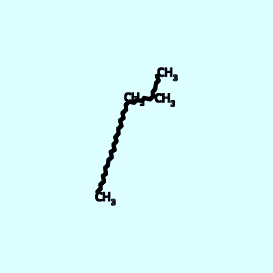 CCCCCCCCCCCCCCCCCCCCCCCCC(C)CCCCCC(C)CCCCCC